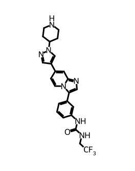 O=C(NCC(F)(F)F)Nc1cccc(-c2cnc3cc(-c4cnn(C5CCNCC5)c4)ccn23)c1